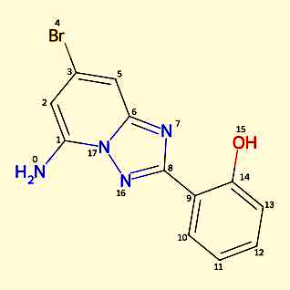 Nc1cc(Br)cc2nc(-c3ccccc3O)nn12